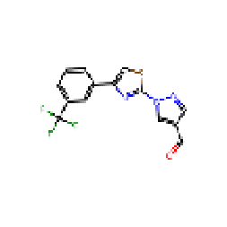 O=Cc1cnn(-c2nc(-c3cccc(C(F)(F)F)c3)cs2)c1